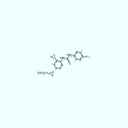 CCOC(=O)[C@@H]1C[C@H]1c1ccc(NC(=O)Nc2ccc(F)cc2)c(C)c1